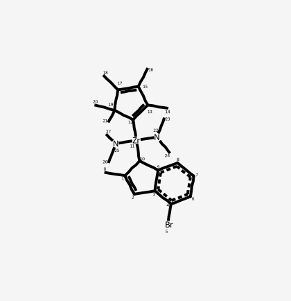 CC1=Cc2c(Br)cccc2[CH]1[Zr]([C]1=C(C)C(C)=C(C)C1(C)C)([N](C)C)[N](C)C